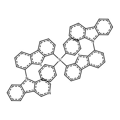 c1ccc([Si](c2ccccc2)(c2cccc3c2sc2c(-n4c5ccccc5c5ccccc54)cccc23)c2cccc3c2sc2c(-n4c5ccccc5c5cnccc54)cccc23)cc1